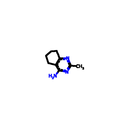 Cc1nc(N)c2c(n1)CCCC2